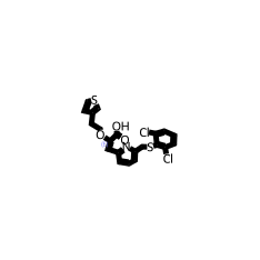 O=C(O)/C(=C\c1cccc(CSc2c(Cl)cccc2Cl)n1)OCCc1ccsc1